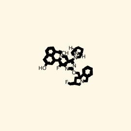 C#Cc1cccc2cc(O)cc(-c3ncc4c(N5C[C@H]6CC[C@@H](C5)N6)nc(OCC56CC(=CF)CN5Cc5ccccc56)nc4c3F)c12